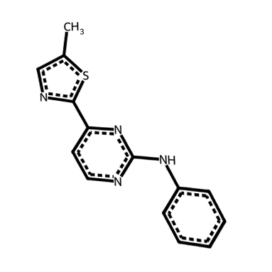 Cc1cnc(-c2ccnc(Nc3ccccc3)n2)s1